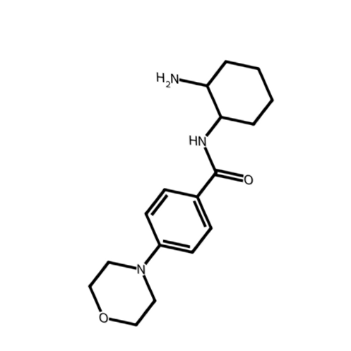 NC1CCCCC1NC(=O)c1ccc(N2CCOCC2)cc1